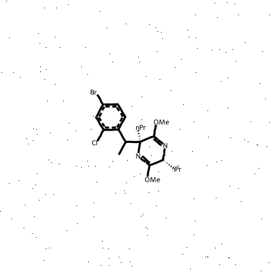 CCC[C@@]1(C(C)c2ccc(Br)cc2Cl)N=C(OC)[C@@H](C(C)C)N=C1OC